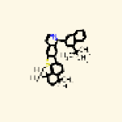 CC(C)(C)c1cc(-c2nccc3cc4sc5c6c(ccc5c4cc23)C(C)(C)CCC6(C)C)cc2ccccc12